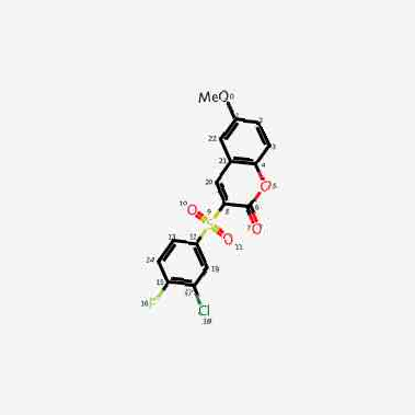 COc1ccc2oc(=O)c(S(=O)(=O)c3ccc(F)c(Cl)c3)cc2c1